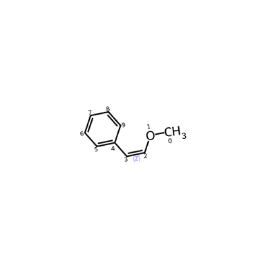 CO/C=C\c1ccccc1